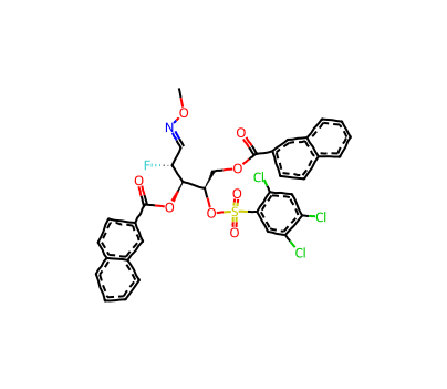 CON=C[C@@H](F)[C@H](OC(=O)c1ccc2ccccc2c1)[C@@H](COC(=O)c1ccc2ccccc2c1)OS(=O)(=O)c1cc(Cl)c(Cl)cc1Cl